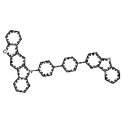 c1ccc2c(c1)oc1cc3c4ccccc4n(-c4ccc(-c5ccc(-c6ccc7sc8ccccc8c7c6)cc5)cc4)c3cc12